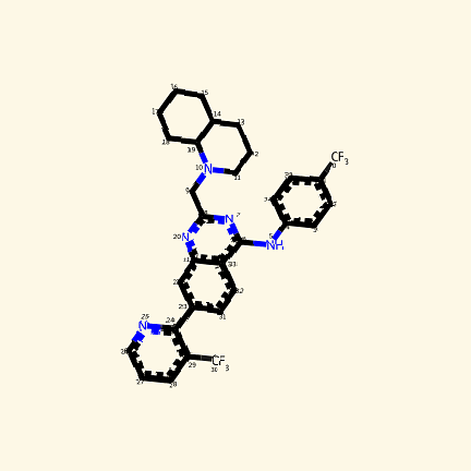 FC(F)(F)c1ccc(Nc2nc(CN3CCCC4CCCCC43)nc3cc(-c4ncccc4C(F)(F)F)ccc23)cc1